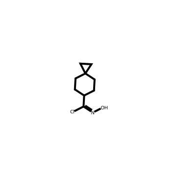 O/N=C(/Cl)C1CCC2(CC1)CC2